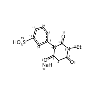 CCN1C(=O)CC(=O)N(c2cccc(S(=O)(=O)O)c2)C1=O.[NaH]